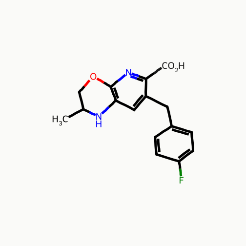 CC1COc2nc(C(=O)O)c(Cc3ccc(F)cc3)cc2N1